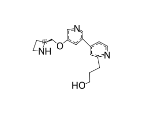 OCCCc1cc(-c2cncc(OC[C@@H]3CCN3)c2)ccn1